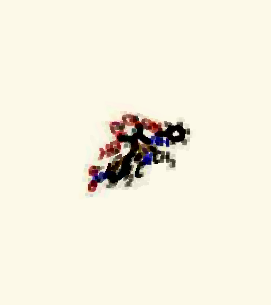 C=N[SH]1(CC)(CC)C(NC(=O)c2ccccc2)=C(C(=O)O)C(C(=O)O)=C1c1ccc([N+](=O)[O-])s1